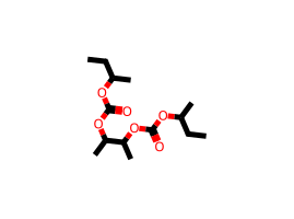 CCC(C)OC(=O)OC(C)C(C)OC(=O)OC(C)CC